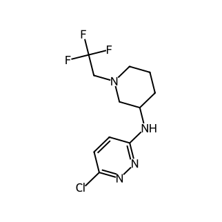 FC(F)(F)CN1CCCC(Nc2ccc(Cl)nn2)C1